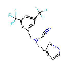 N#CN(Cc1cccnc1)Cc1cc(C(F)(F)F)cc(C(F)(F)F)c1